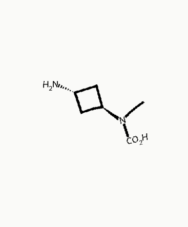 CN(C(=O)O)[C@H]1C[C@H](N)C1